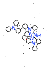 c1ccc(C2=NC(c3ccccc3-n3c4ccccc4c4c(-c5cccc6c5c5ccccc5n6-c5ccccc5)cccc43)NC(c3cccc4c5ccccc5n(-c5ccccc5)c34)=N2)cc1